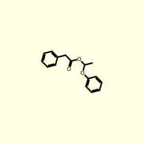 CC(OC(=O)Cc1ccccc1)Oc1ccccc1